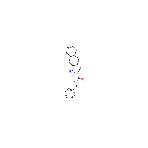 O=C(OCc1ccccc1)c1cc2cc3ccccc3cc2[nH]1